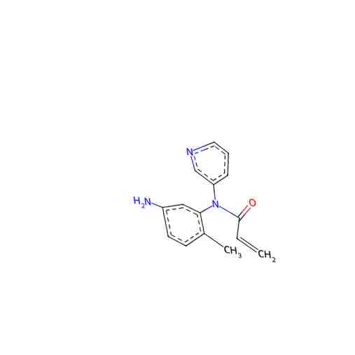 C=CC(=O)N(c1cccnc1)c1cc(N)ccc1C